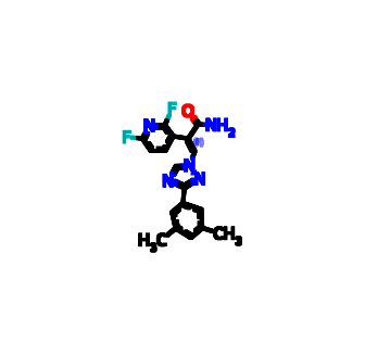 Cc1cc(C)cc(-c2ncn(/C=C(/C(N)=O)c3ccc(F)nc3F)n2)c1